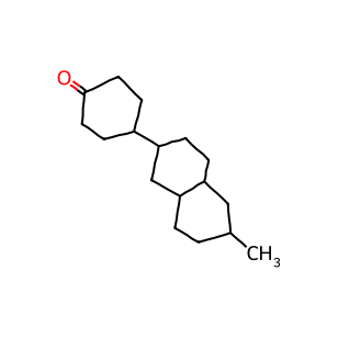 CC1CCC2CC(C3CCC(=O)CC3)CCC2C1